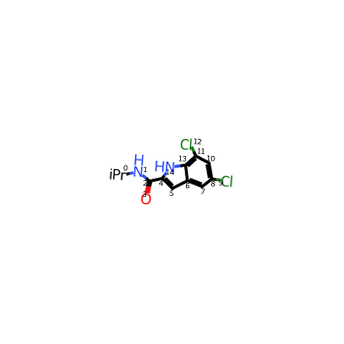 CC(C)NC(=O)c1cc2cc(Cl)cc(Cl)c2[nH]1